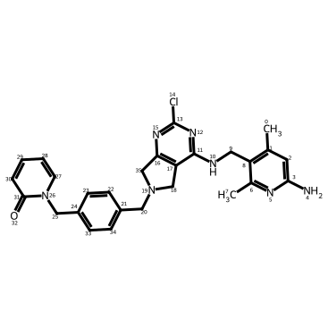 Cc1cc(N)nc(C)c1CNc1nc(Cl)nc2c1CN(Cc1ccc(Cn3ccccc3=O)cc1)C2